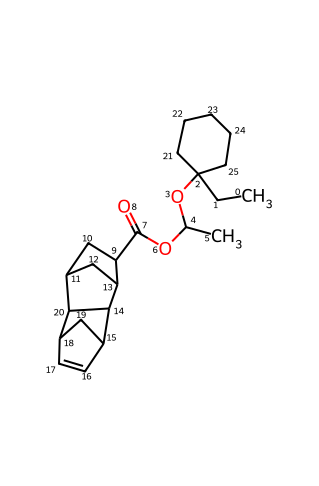 CCC1(OC(C)OC(=O)C2CC3CC2C2C4C=CC(C4)C32)CCCCC1